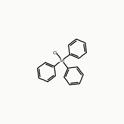 [Cl][Sn]([c]1ccccc1)([c]1ccccc1)[c]1ccccc1